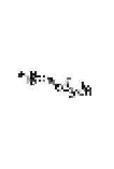 CC(C)c1noc(N2CCC([C@H]3C[C@H]3CCOc3ccc(CC(=O)N4CCc5nccnc5C4)c(F)c3)CC2)n1